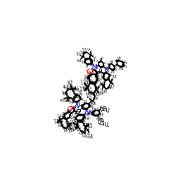 Cc1cc2c3c(c1)N(c1ccc4c(c1)C(C)(C)CCC4(C)C)c1oc4cc5c(cc4c1B3c1cc3c(cc1N2c1ccc(-c2ccccc2)cc1)C(C)(C)CCC3(C)C)C(C)(C)C(CC(C)(C)c1cc2c3c(c1)N(c1ccc4c(c1)C(C)(C)CCC4(C)C)c1oc4cc6c(cc4c1B3c1cc3c(cc1N2c1cc(C(C)(C)C)cc(C(C)(C)C)c1)C(C)(C)CCC3(C)C)C(C)(C)CCC6(C)C)CC5(C)C